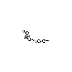 N#Cc1ccc(-c2ccc(OCCC[C@@H]3CCN(NS(=O)(=O)c4ccc(F)c(Cl)c4)C3)cc2)cc1